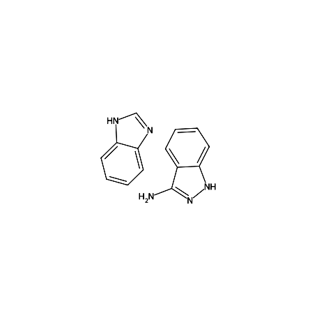 Nc1n[nH]c2ccccc12.c1ccc2[nH]cnc2c1